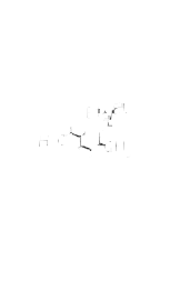 C=C(/C=C\C=C/C)CCN(CC)CC